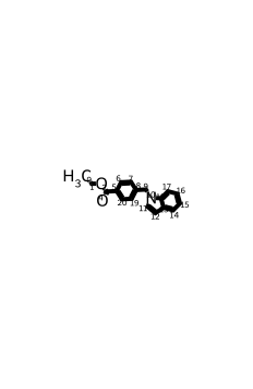 CCOC(=O)c1ccc(Cn2ccc3ccccc32)cc1